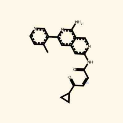 Cc1ccncc1-c1cc2cc(NC(=O)/C=C\C(=O)C3CC3)ncc2c(N)n1